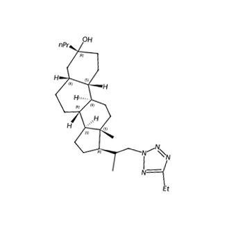 CCC[C@@]1(O)CC[C@H]2[C@H](CC[C@@H]3[C@@H]2CC[C@]2(C)[C@@H](C(C)Cn4nnc(CC)n4)CC[C@@H]32)C1